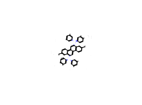 Cc1ccc(N(c2cc(C)c(C)c(C)c2)c2cc3c4ccc(C(C)C)cc4c(N(c4ccc(C)c(C)c4)c4cc(C)c(C)c(C)c4)cc3c3ccc(C(C)C)cc23)cc1C